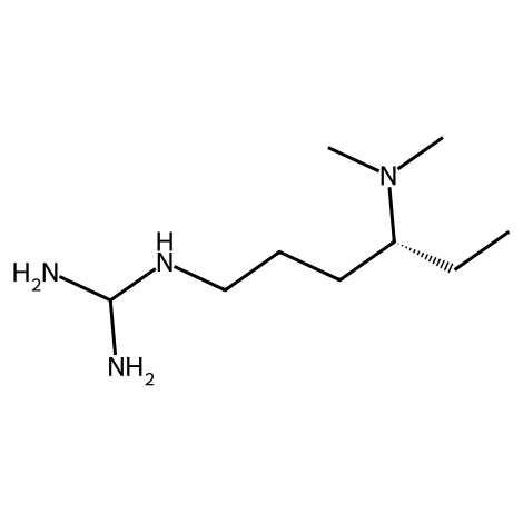 CC[C@H](CCCNC(N)N)N(C)C